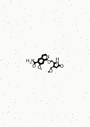 COC[C@@H]1CC(=O)N[C@@H]1COc1nccc2cc(C(N)=O)c(OC)cc12